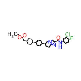 CCOC(=O)CC1CCC(c2ccc(-c3ccc4nc(C(=O)Nc5ccc(F)c(Cl)c5)cn4c3)cc2)CC1